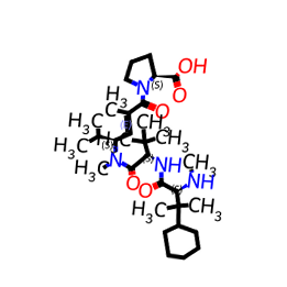 CN[C@H](C(=O)N[C@H](C(=O)N(C)[C@H](/C=C(\C)C(=O)N1CCC[C@H]1C(=O)O)C(C)C)C(C)(C)C)C(C)(C)C1CCCCC1